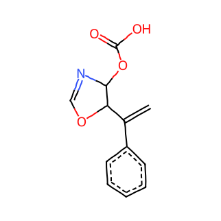 C=C(c1ccccc1)C1OC=NC1OC(=O)O